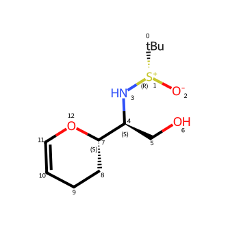 CC(C)(C)[S@+]([O-])N[C@@H](CO)[C@@H]1CCC=CO1